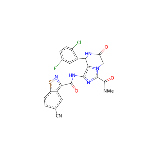 CNC(=O)c1nc(NC(=O)c2nsc3ccc(C#N)cc23)c2n1CC(=O)NC2c1cc(F)ccc1Cl